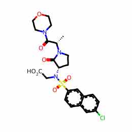 C[C@@H](C(=O)N1CCOCC1)N1CC[C@H](N(CC(=O)O)S(=O)(=O)c2ccc3cc(Cl)ccc3c2)C1=O